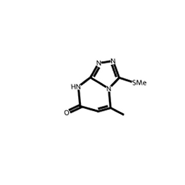 CSc1nnc2[nH]c(=O)cc(C)n12